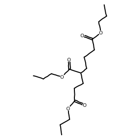 CCCOC(=O)CCCC(CCC(=O)OCCC)C(=O)OCCC